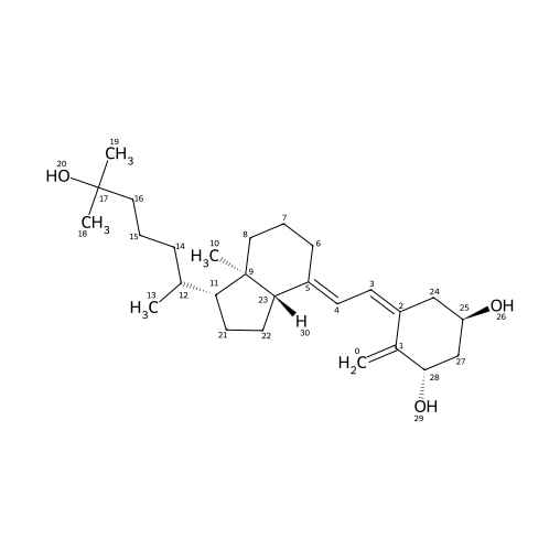 C=C1/C(=C\C=C2/CCC[C@]3(C)[C@@H](C(C)CCCC(C)(C)O)CC[C@@H]23)C[C@@H](O)C[C@@H]1O